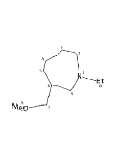 [CH2]CN1CCCCC(COC)C1